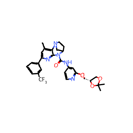 Cc1cc(-c2cccc(C(F)(F)F)c2)nc2c1N1CCC(C1)N2C(=O)Nc1ccnc(OC[C@@H]2COC(C)(C)O2)c1